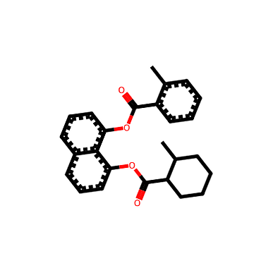 Cc1ccccc1C(=O)Oc1cccc2cccc(OC(=O)C3CCCCC3C)c12